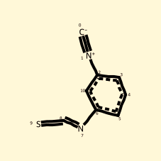 [C-]#[N+]c1cccc(N=C=S)c1